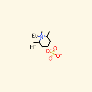 CC[N+]1(C)C(C)CCCC1C.O=S(=O)([O-])[O-].[H+]